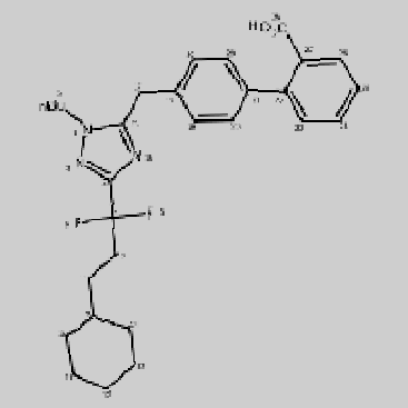 CCCCn1nc(C(F)(F)CCC2CCCCC2)nc1Cc1ccc(-c2ccccc2C(=O)O)cc1